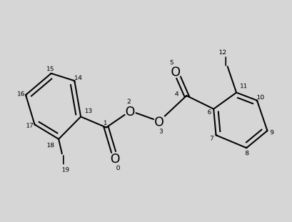 O=C(OOC(=O)c1ccccc1I)c1ccccc1I